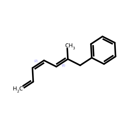 C=C/C=C\C=C(/C)Cc1ccccc1